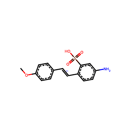 COc1ccc(/C=C/c2ccc(N)cc2S(=O)(=O)O)cc1